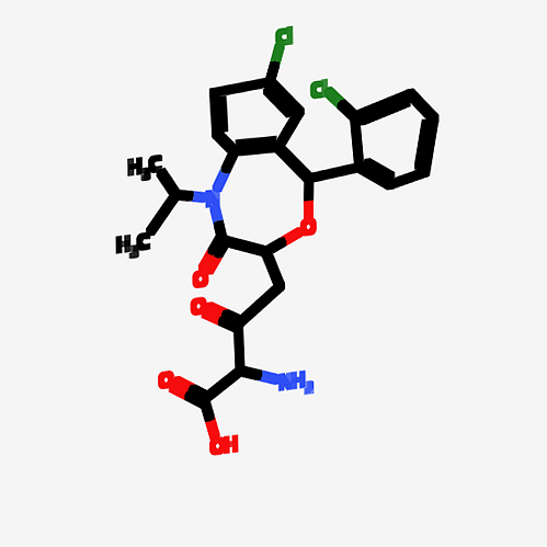 CC(C)N1C(=O)C(CC(=O)C(N)C(=O)O)OC(c2ccccc2Cl)c2cc(Cl)ccc21